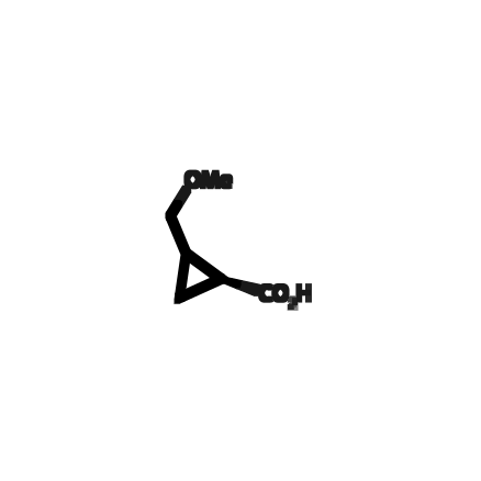 COCC1C[C@@H]1C(=O)O